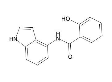 O=C(Nc1cccc2[nH]ccc12)c1ccccc1O